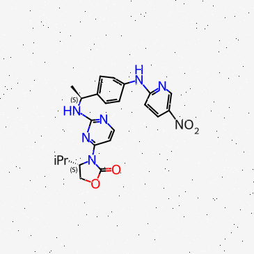 CC(C)[C@H]1COC(=O)N1c1ccnc(N[C@@H](C)c2ccc(Nc3ccc([N+](=O)[O-])cn3)cc2)n1